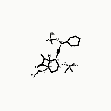 CC1C(=O)[C@@]2(OCC(F)(F)F)CC[C@@H](O[Si](C)(C)C(C)(C)C)[C@H](C#C[C@@H](O[Si](C)(C)C(C)(C)C)C3CCCCC3)[C@@H]12